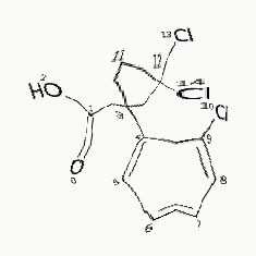 O=C(O)C1(c2ccccc2Cl)CC1(Cl)Cl